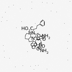 C[C@H](N[C@@H](CCc1ccccc1)C(=O)O)C(=O)N1C2CCCCC2CC1(C(=O)O)c1cc(S(N)(=O)=O)cc(S(N)(=O)=O)c1Cl